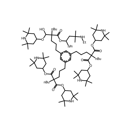 CCCCC(CCCc1cc(CCCC(CCCC)(C(=O)OC2CC(C)(C)NC(C)(C)C2)C(=O)OC2CC(C)(C)NC(C)(C)C2)cc(CCCC(CCCC)(C(=O)OC(CCC)CC(C)(C)NCC)C(O)OC2CC(C)(C)NC(C)(C)C2)c1)(C(=O)OC1CC(C)(C)NC(C)(C)C1)C(=O)OC1CC(C)(C)NC(C)(C)C1